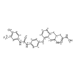 NC(=O)C(CC(=O)NO)Cc1cc(Oc2ccc(NC(=O)Nc3ccc(Cl)c(C(F)(F)F)c3)cc2)ccn1